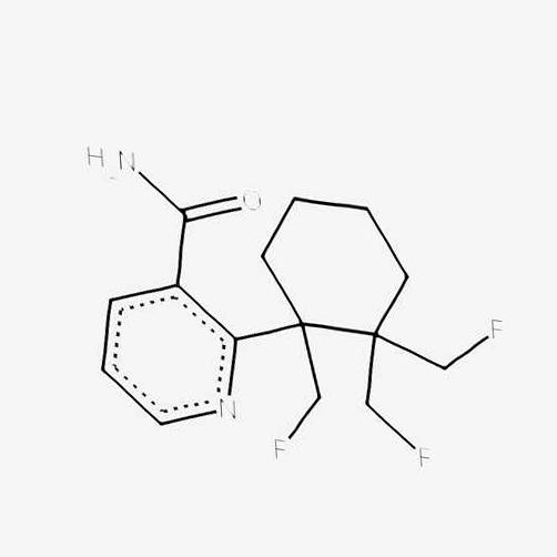 NC(=O)c1cccnc1C1(CF)CCCCC1(CF)CF